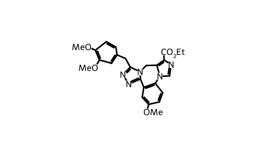 CCOC(=O)c1ncn2c1Cn1c(Cc3ccc(OC)c(OC)c3)nnc1-c1cc(OC)ccc1-2